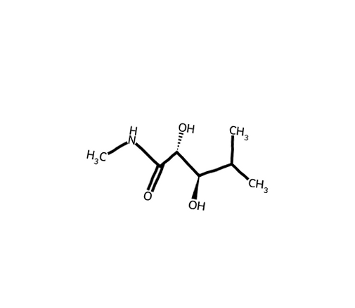 CNC(=O)[C@H](O)[C@H](O)C(C)C